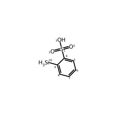 O=S(=O)(O)c1ccccc1[SiH3]